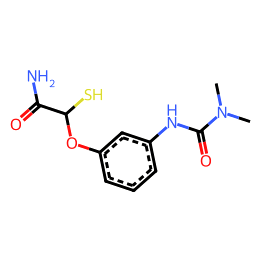 CN(C)C(=O)Nc1cccc(OC(S)C(N)=O)c1